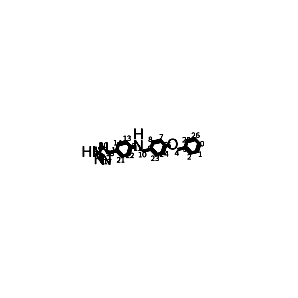 c1ccc(COc2ccc(CNc3ccc(-c4nn[nH]n4)cc3)cc2)cc1